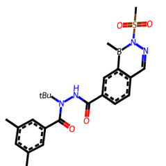 CB1c2cc(C(=O)NN(C(=O)c3cc(C)cc(C)c3)C(C)(C)C)ccc2C=NN1S(C)(=O)=O